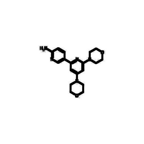 Nc1ccc(-c2cc(N3CCOCC3)cc(N3CCOCC3)n2)cn1